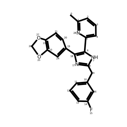 Cc1cccc(-c2[nH]c(Cc3cccc(F)c3)nc2-c2ccc3c(c2)OCO3)n1